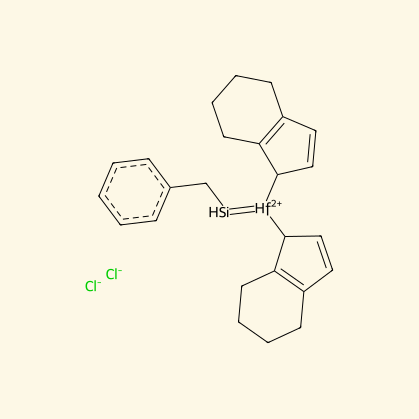 C1=C[CH]([Hf+2](=[SiH]Cc2ccccc2)[CH]2C=CC3=C2CCCC3)C2=C1CCCC2.[Cl-].[Cl-]